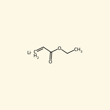 C=CC(=O)OCC.[Li]